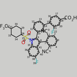 N#Cc1cccc(C#N)c1-c1c(-c2cccc(-c3ccc(C(=O)O)cc3F)c2)n(S(=O)(=O)C2CCC(C(F)(F)F)CC2)c2ccc(F)cc12